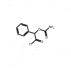 NC(=O)OC(C(=O)Cl)c1ccccc1